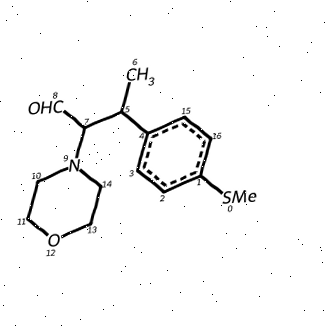 CSc1ccc(C(C)C(C=O)N2CCOCC2)cc1